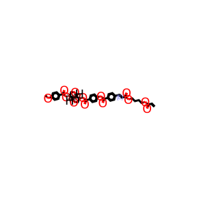 C=CC(=O)OCCCCOC(=O)/C=C/c1ccc(C(=O)Oc2ccc(C(=O)OC3CO[C@@H]4[C@@H](OC(=O)c5ccc(OC)cc5)CO[C@H]34)cc2)cc1